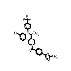 Cc1nc(-c2ccc(C(=O)N3CC[C@H]([C@H](C)Oc4ccc(C(F)(F)F)cn4)[C@@H](c4ccc(Cl)cc4)C3)cc2)no1